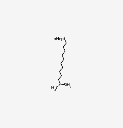 CCCCCCCCCCCCCCCCCC(C)[SiH3]